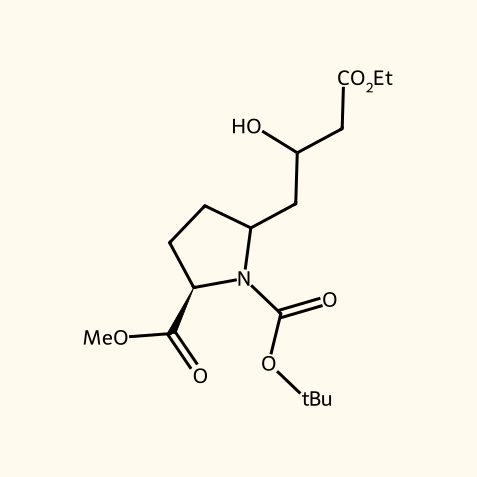 CCOC(=O)CC(O)CC1CC[C@H](C(=O)OC)N1C(=O)OC(C)(C)C